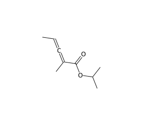 CC=C=C(C)C(=O)OC(C)C